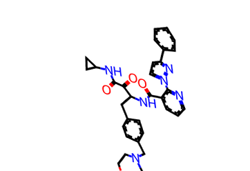 O=C(NC1CC1)C(=O)C(Cc1ccc(CN2CCOCC2)cc1)NC(=O)c1cccnc1-n1ccc(-c2ccccc2)n1